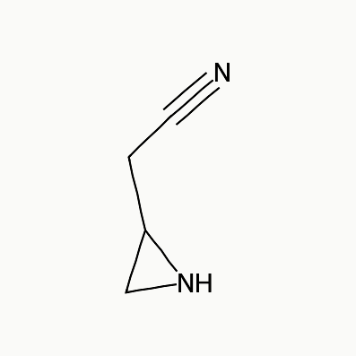 N#CCC1CN1